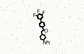 CCCC1CCC(CC(=O)c2ccc(-c3cc(F)c(F)c(F)c3)cc2)CC1